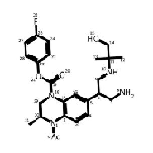 CC(=O)N1c2ccc(C(CN)CNC(C)(C)CO)cc2N(C(=O)Oc2ccc(F)cc2)C[C@@H]1C